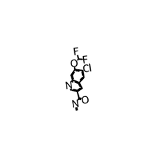 C=NC(=O)c1cnc2cc(OC(F)F)c(Cl)cc2c1